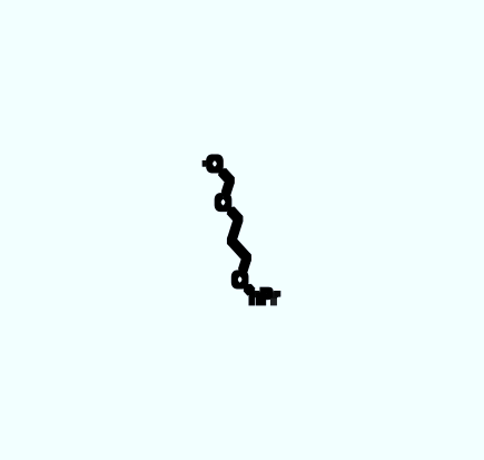 CCCOCCCOC[O]